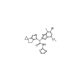 Cc1c(Br)cc(C(F)(F)F)c2cn(C(C(=O)Nc3nccs3)c3ncn4c3CCC43CC3)nc12